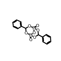 O=P12OC(c3ccccc3)OP(=O)(OC(c3ccccc3)O1)O2